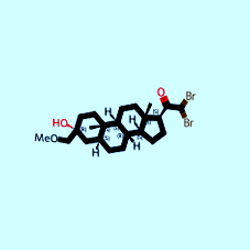 COC[C@@]1(O)CC[C@@]2(C)[C@@H](CC[C@@H]3[C@@H]2CC[C@]2(C)[C@@H](C(=O)C(Br)Br)CC[C@@H]32)C1